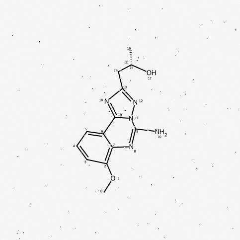 COc1cccc2c1nc(N)n1nc(C[C@H](C)O)nc21